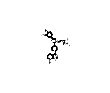 CN(C)CCn1cc(-c2ccc(F)c(Cl)c2)nc1C1CCN(c2ncnc3c2CCCN3)CC1